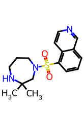 CC1(C)CN(S(=O)(=O)c2cccc3cnccc23)CCCN1